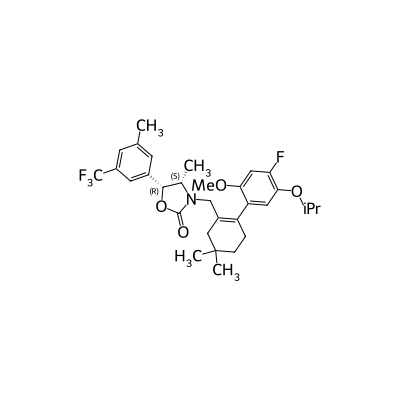 COc1cc(F)c(OC(C)C)cc1C1=C(CN2C(=O)O[C@H](c3cc(C)cc(C(F)(F)F)c3)[C@@H]2C)CC(C)(C)CC1